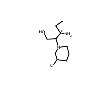 CC[C@@H](N)C(CO)N1CCCC(Cl)C1